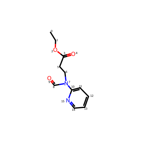 CCOC(=O)CCN(C=O)c1ccccn1